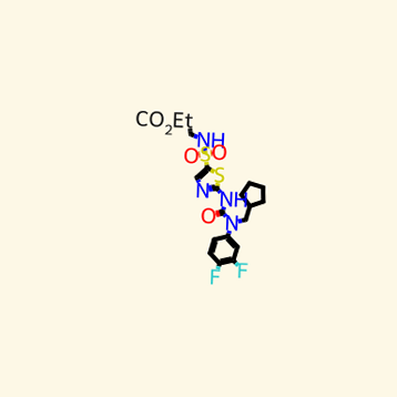 CCOC(=O)CNS(=O)(=O)c1cnc(NC(=O)N(CC2CCCC2)c2ccc(F)c(F)c2)s1